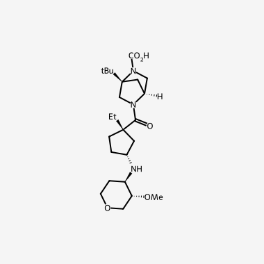 CC[C@]1(C(=O)N2C[C@@]3(C(C)(C)C)C[C@H]2CN3C(=O)O)CC[C@@H](N[C@@H]2CCOC[C@H]2OC)C1